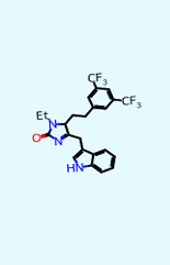 CCN1C(=O)N=C(Cc2c[nH]c3ccccc23)C1CCc1cc(C(F)(F)F)cc(C(F)(F)F)c1